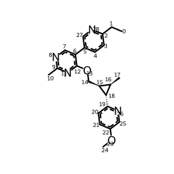 CCc1ccc(-c2cnc(C)nc2OC[C@H]2[C@@H](C)[C@@H]2c2ccc(OC)cn2)cn1